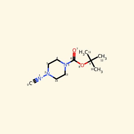 [C-]#[N+]N1CCN(C(=O)OC(C)(C)C)CC1